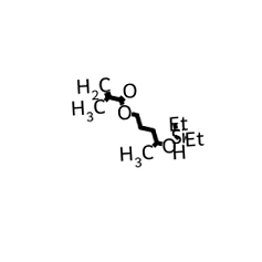 C=C(C)C(=O)OCCCC(C)O[SiH](CC)CC